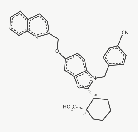 N#Cc1ccc(Cn2c([C@@H]3CCCC[C@@H]3C(=O)O)nc3cc(OCc4ccc5ccccc5n4)ccc32)cc1